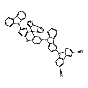 N#Cc1ccc2c(c1)c1cc(C#N)ccc1n2-c1ccc2c(c1)c1ccccc1n2-c1ccc2c(c1)C1(c3cc(-n4c5ccccc5c5ccccc54)ccc3S2)c2cccnc2-c2ncccc21